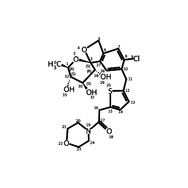 C[C@H]1O[C@]2(OCc3cc(Cl)c(Cc4ccc(CC(=O)N5CCOCC5)s4)cc32)[C@H](O)[C@@H](O)[C@@H]1O